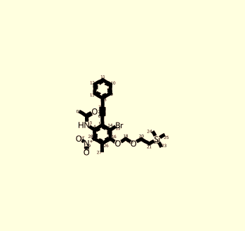 CC(=O)Nc1c(C#Cc2ccccc2)c(Br)c(OCOCC[Si](C)(C)C)c(C)c1[N+](=O)[O-]